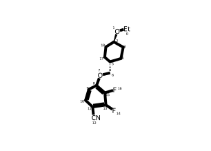 CCO[C@H]1CC[C@H](COc2ccc(C#N)c(F)c2F)CC1